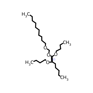 CCCCCCCCCCOCO/C(OCCCC)=C(/CCCCC)OCCCC